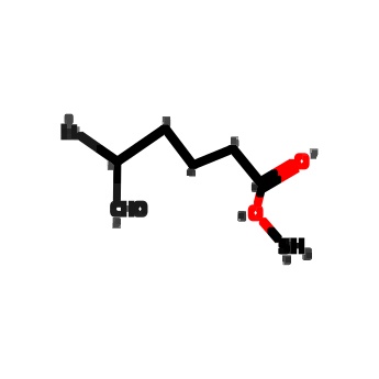 CCC(C=O)CCCC(=O)O[SiH3]